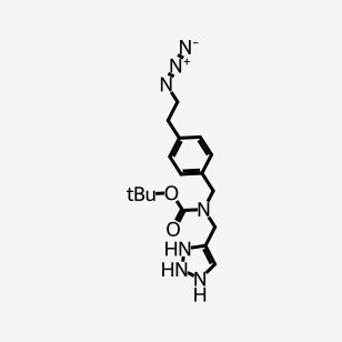 CC(C)(C)OC(=O)N(CC1=CNNN1)Cc1ccc(CCN=[N+]=[N-])cc1